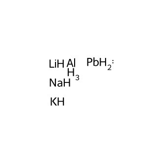 [AlH3].[KH].[LiH].[NaH].[PbH2]